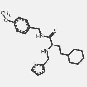 COc1ccc(CNC(=S)[C@@H](CCC2CCCCC2)NCc2cccs2)cc1